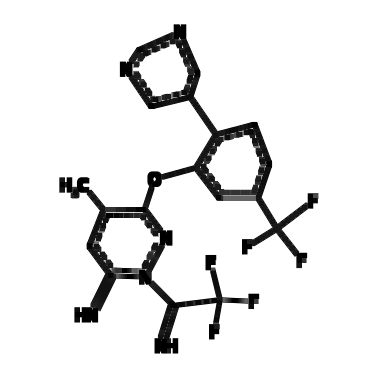 Cc1cc(=N)n(C(=N)C(F)(F)F)nc1Oc1cc(C(F)(F)F)ccc1-c1cncnc1